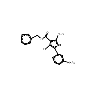 CCc1c(-c2cccc(NC(C)=O)c2)[nH]c(C=O)c1C(=O)OCc1ccccc1